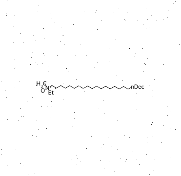 CCCCCCCCCCCCCCCCCCCCCCCCCCCC[N+](C)([O-])CC